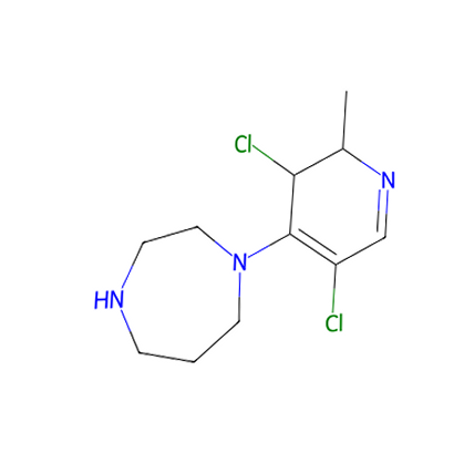 CC1N=CC(Cl)=C(N2CCCNCC2)C1Cl